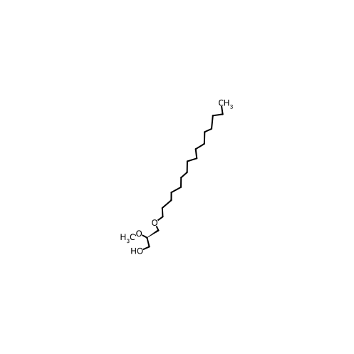 CCCCCCCCCCCCCCCCOC[C@@H](CO)OC